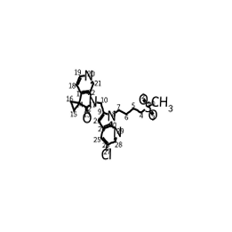 CS(=O)(=O)CCCCn1c(CN2C(=O)C3(CC3)c3ccncc32)cc2cc(Cl)cnc21